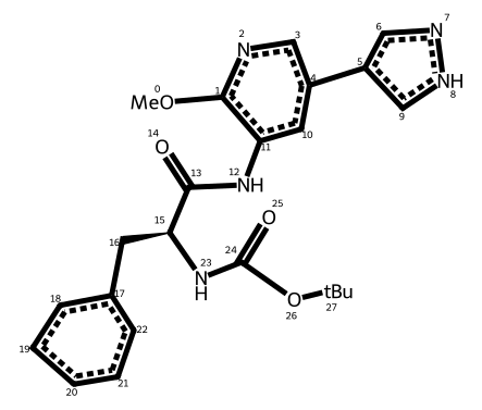 COc1ncc(-c2cn[nH]c2)cc1NC(=O)[C@H](Cc1ccccc1)NC(=O)OC(C)(C)C